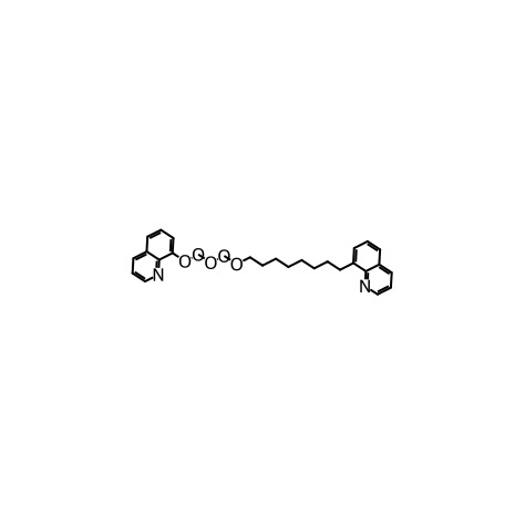 c1cnc2c(CCCCCCCCOOOOOc3cccc4cccnc34)cccc2c1